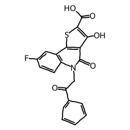 O=C(Cn1c(=O)c2c(O)c(C(=O)O)sc2c2cc(F)ccc21)c1ccccc1